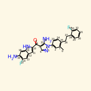 Cc1cc(-n2ncc(C(=O)c3cc4cc(F)c(N)cc4[nH]3)c2N)ccc1CCc1ccccc1F